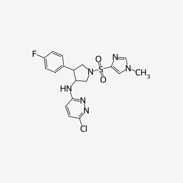 Cn1cnc(S(=O)(=O)N2CC(Nc3ccc(Cl)nn3)C(c3ccc(F)cc3)C2)c1